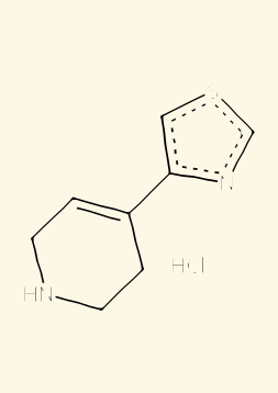 C1=C(c2cscn2)CCNC1.Cl